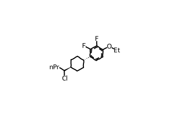 CCCC(Cl)[C@H]1CC[C@H](c2ccc(OCC)c(F)c2F)CC1